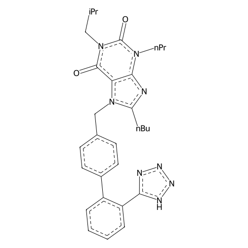 CCCCc1nc2c(c(=O)n(CC(C)C)c(=O)n2CCC)n1Cc1ccc(-c2ccccc2-c2nnn[nH]2)cc1